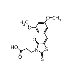 COc1cc(C=C2SC(=S)N(CCC(=O)O)C2=O)cc(OC)c1